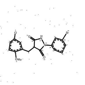 COc1ccc(Cl)cc1CC1C(=O)NN(c2cccc(Br)c2)C1=O